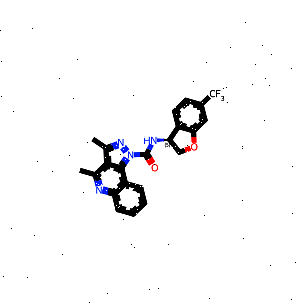 Cc1nc2ccccc2c2c1c(C)nn2C(=O)N[C@@H]1COc2cc(C(F)(F)F)ccc21